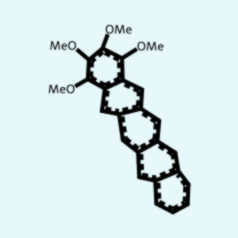 COc1c(OC)c(OC)c2cc3cc4cc5ccccc5cc4cc3cc2c1OC